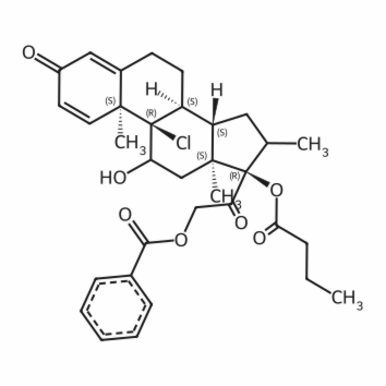 CCCC(=O)O[C@]1(C(=O)COC(=O)c2ccccc2)C(C)C[C@H]2[C@@H]3CCC4=CC(=O)C=C[C@]4(C)[C@@]3(Cl)C(O)C[C@@]21C